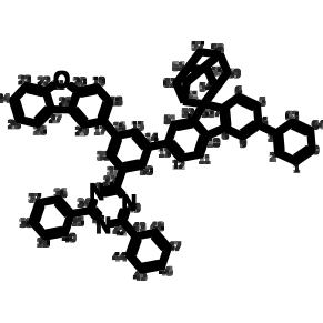 c1ccc(-c2ccc3c(c2)-c2ccc(-c4cc(-c5ccc6oc7ccccc7c6c5)cc(-c5nc(-c6ccccc6)nc(-c6ccccc6)n5)c4)cc2C32C3CC4CC(C3)CC2C4)cc1